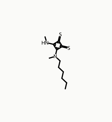 CCCCCCN(C)c1c(NC)c(=S)c1=S